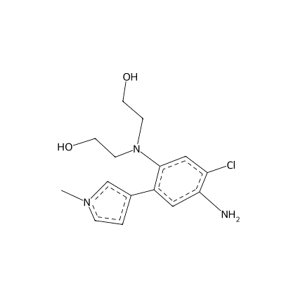 Cn1ccc(-c2cc(N)c(Cl)cc2N(CCO)CCO)c1